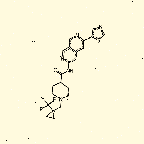 O=C(Nc1cc2cc(-c3cncs3)ncc2cn1)C1CCN(CC2(C(F)(F)F)CC2)CC1